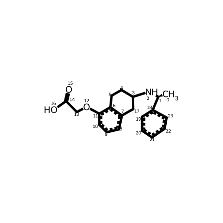 C[C@H](NC1CCc2c(cccc2OCC(=O)O)C1)c1ccccc1